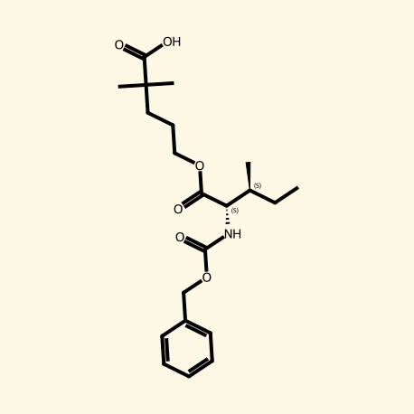 CC[C@H](C)[C@H](NC(=O)OCc1ccccc1)C(=O)OCCCC(C)(C)C(=O)O